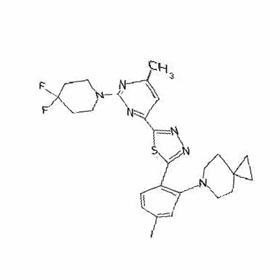 Cc1cc(-c2nnc(-c3ccc(I)cc3N3CCC4(CC3)CC4)s2)nc(N2CCC(F)(F)CC2)n1